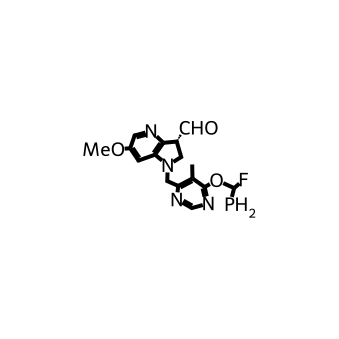 COc1cnc2c(c1)N(Cc1ncnc(OC(F)P)c1C)C[C@H]2C=O